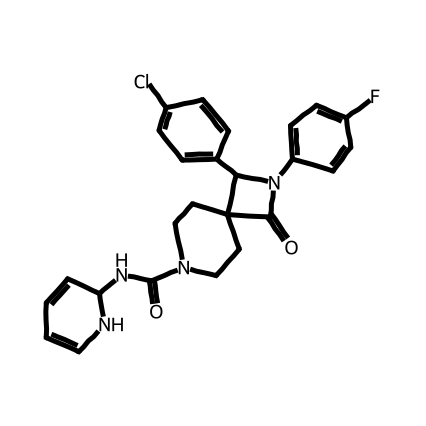 O=C(NC1C=CC=CN1)N1CCC2(CC1)C(=O)N(c1ccc(F)cc1)C2c1ccc(Cl)cc1